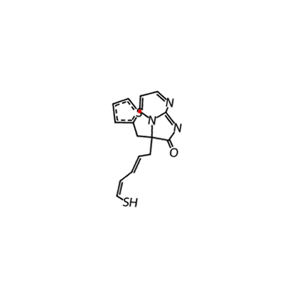 O=C1N=C2N=CC=CN2C1(C/C=C/C=C\S)Cc1cccs1